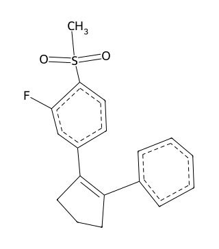 CS(=O)(=O)c1ccc(C2=C(c3ccccc3)CCC2)cc1F